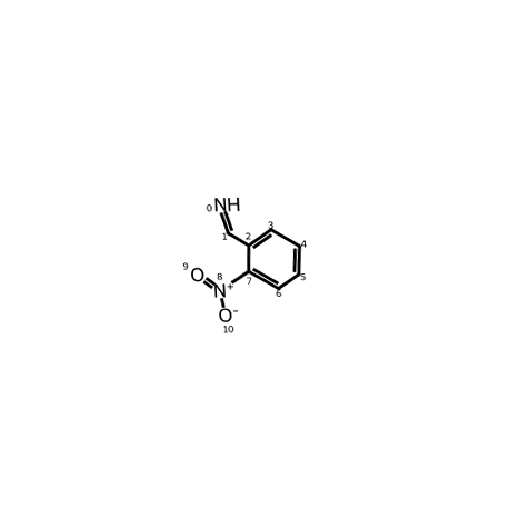 N=Cc1ccccc1[N+](=O)[O-]